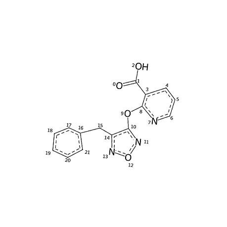 O=C(O)c1cccnc1Oc1nonc1Cc1ccccc1